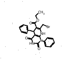 CCOC(=O)C1=C(CBr)Nc2c(c(=O)[nH]c(=O)n2-c2ccccc2)C1c1ccccc1